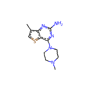 Cc1csc2c(N3CCN(C)CC3)nc(N)nc12